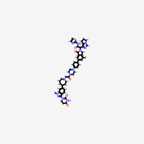 Cn1nc(N2CCC(=O)NC2=O)c2ccc(C3CCCN(CC(=O)N4CCN(c5ccc(-c6cc(F)c7c(c6)C(=O)N(C(C(=O)Nc6nccs6)c6ncn8c6CCC8)C7)cc5)CC4)CC3)cc21